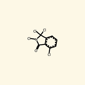 O=C1c2c(Cl)cccc2C(Cl)(Cl)N1Cl